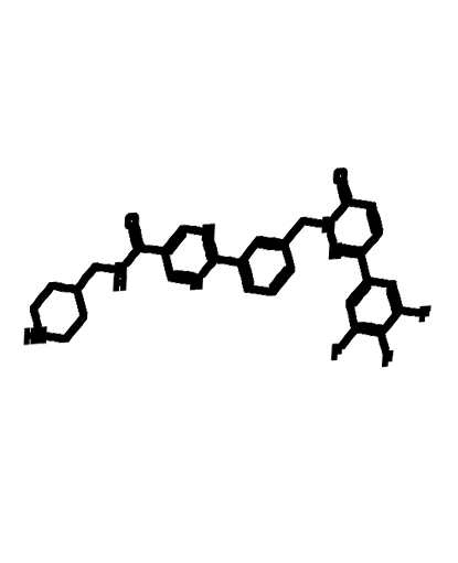 O=C(NCC1CCNCC1)c1cnc(-c2cccc(Cn3nc(-c4cc(F)c(F)c(F)c4)ccc3=O)c2)nc1